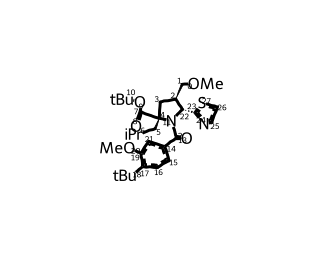 COC[C@@H]1C[C@@](CC(C)C)(C(=O)OC(C)(C)C)N(C(=O)c2ccc(C(C)(C)C)c(OC)c2)[C@H]1c1nccs1